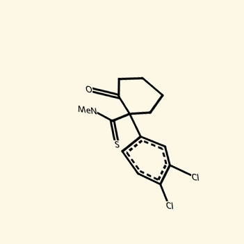 CNC(=S)C1(c2ccc(Cl)c(Cl)c2)CCCCC1=O